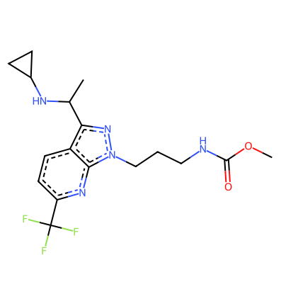 COC(=O)NCCCn1nc(C(C)NC2CC2)c2ccc(C(F)(F)F)nc21